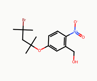 CC(C)(Br)CC(C)(C)Oc1ccc([N+](=O)[O-])c(CO)c1